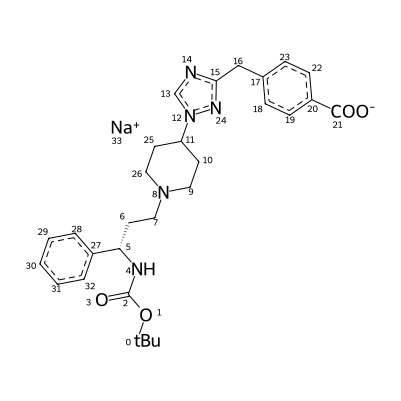 CC(C)(C)OC(=O)N[C@@H](CCN1CCC(n2cnc(Cc3ccc(C(=O)[O-])cc3)n2)CC1)c1ccccc1.[Na+]